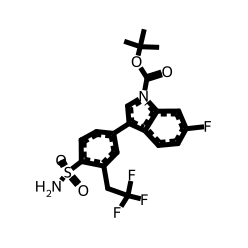 CC(C)(C)OC(=O)n1cc(-c2ccc(S(N)(=O)=O)c(CC(F)(F)F)c2)c2ccc(F)cc21